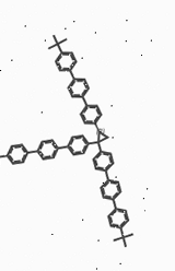 CC(C)(C)c1ccc(-c2ccc(-c3ccc([C@H]4CC4(c4ccc(-c5ccc(-c6ccc(C(C)(C)C)cc6)cc5)cc4)c4ccc(-c5ccc(-c6ccc(C(C)(C)C)cc6)cc5)cc4)cc3)cc2)cc1